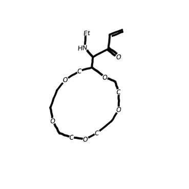 C=CC(=O)C(NCC)C1COCCOCCOCCOCCO1